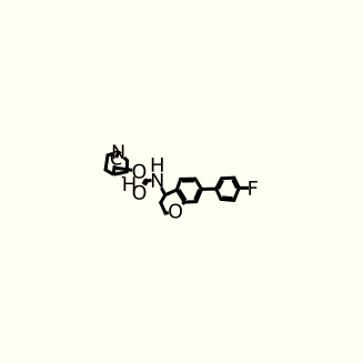 O=C(NC1CCOc2cc(-c3ccc(F)cc3)ccc21)O[C@@H]1CN2CCC1CC2